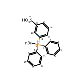 CCCC[PH](c1ccccc1)(c1ccccc1)c1cccc(S(=O)(=O)O)c1